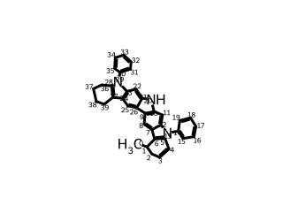 CC1CC=Cc2c1c1cc3c(cc1n2-c1ccccc1)[nH]c1cc2c(cc13)c1c(n2-c2ccccc2)CCCC1